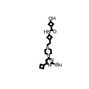 CC(C)(C)c1nc(C2CCC2)cc(N2CCN(CCC3CC(NC(=O)C4CC(O)C4)C3)CC2)n1